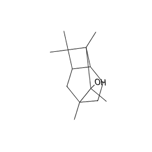 CC12CCC3C(C1)C(C)(C)C3(C)C2(C)O